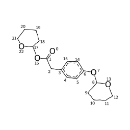 O=C(Cc1ccc(OC2CCCCO2)cc1)OC1CCCCO1